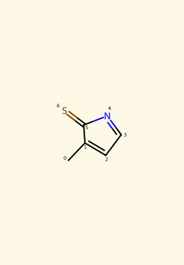 CC1=CC=NC1=S